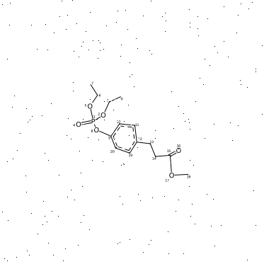 CCOP(=O)(OCC)Oc1ccc(CCC(=O)OC)cc1